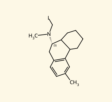 Cc1ccc2c(c1)C1CCCCC1[C@@H](N(C)CI)C2